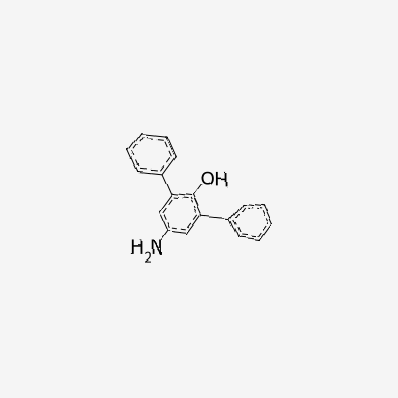 Nc1cc(-c2ccccc2)c(O)c(-c2ccccc2)c1